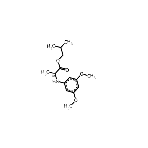 COc1cc(N[C@@H](C)C(=O)OCC(C)C)cc(OC)c1